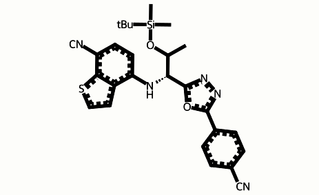 [C-]#[N+]c1ccc(N[C@@H](c2nnc(-c3ccc(C#N)cc3)o2)C(C)O[Si](C)(C)C(C)(C)C)c2ccsc12